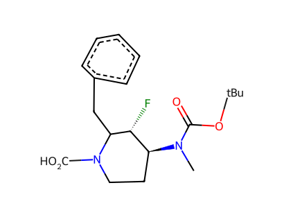 CN(C(=O)OC(C)(C)C)[C@H]1CCN(C(=O)O)C(Cc2ccccc2)[C@@H]1F